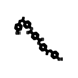 CC(Cc1ccc(O)cc1)c1ccc(OC(=O)c2ccc(C(=O)Oc3ccc(C(C)Cc4ccc(O)cc4)cc3)cc2)cc1